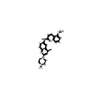 CCN1CCN(c2cc(C)c3cc(NC(=O)/C=C\c4ccccc4OC(C)C)ccc3n2)CC1